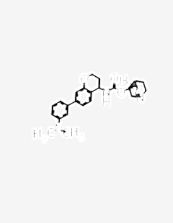 CN(C)c1cccc(-c2ccc3c(c2)OCCC3NC(=O)O[C@@H]2CN3CCC2CC3)c1